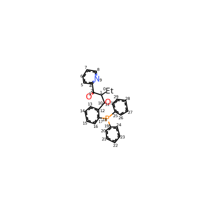 CCC(C(=O)c1ccccn1)C(=O)c1ccccc1P(c1ccccc1)c1ccccc1